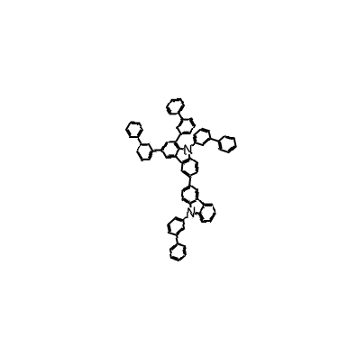 c1ccc(-c2cccc(-c3cc(-c4cccc(-c5ccccc5)c4)c4c(c3)c3cc(-c5ccc6c(c5)c5ccccc5n6-c5cccc(-c6ccccc6)c5)ccc3n4-c3cccc(-c4ccccc4)c3)c2)cc1